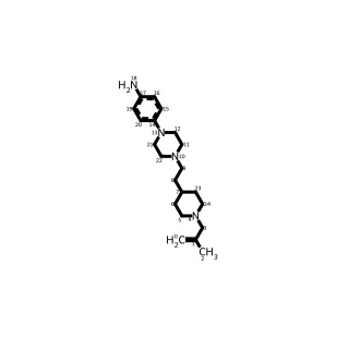 C=C(C)CN1CCC(CCN2CCN(c3ccc(N)cc3)CC2)CC1